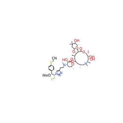 CO[C@H](c1ccc(SCC#N)cc1)[C@@H](CF)n1cc(CCN(C)[C@H]2C[C@@H](C)O[C@@H](O[C@@H]3[C@@H](C)[C@H](O[C@H]4CC(C)(C)[C@@H](O)[C@H](C)O4)[C@@H](C)C(=O)O[C@H](I)[C@@](C)(O)[C@H](O)[C@@H](C)N(C)C[C@H](C)C[C@@]3(C)O)[C@@H]2O)nn1